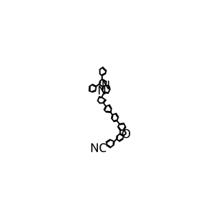 N#Cc1ccc(-c2ccc3oc4ccc(-c5ccc(-c6ccc(C7=CC(C8=CCCN9C=C(C%10=CC=CCC%10)C=C(c%10ccccc%10)C9=N8)=CCC7)cc6)cc5)cc4c3c2)cc1